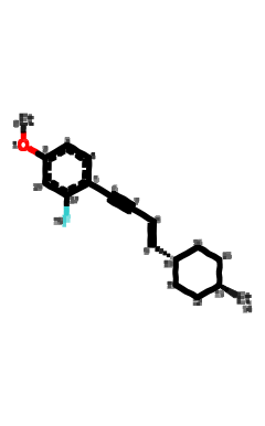 CCOc1ccc(C#CC=C[C@H]2CC[C@H](CC)CC2)c(F)c1